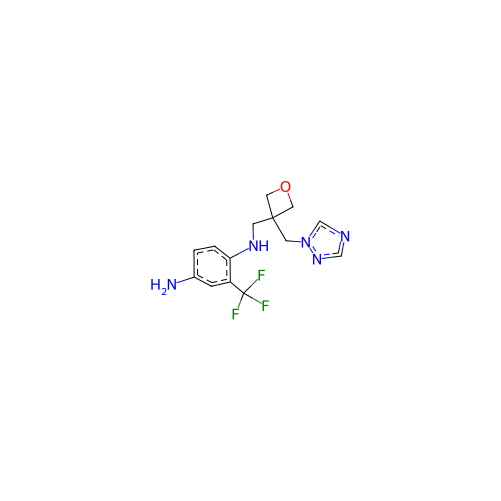 Nc1ccc(NCC2(Cn3cncn3)COC2)c(C(F)(F)F)c1